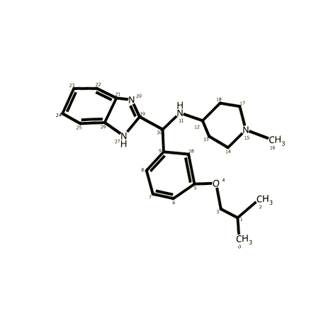 CC(C)COc1cccc(C(NC2CCN(C)CC2)c2nc3ccccc3[nH]2)c1